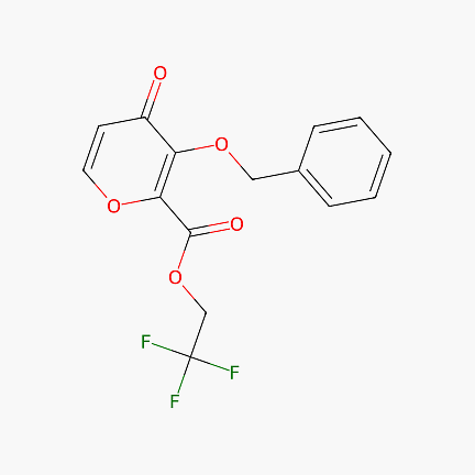 O=C(OCC(F)(F)F)c1occc(=O)c1OCc1ccccc1